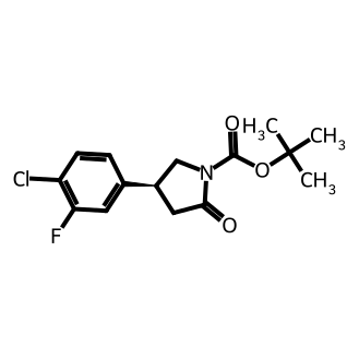 CC(C)(C)OC(=O)N1C[C@H](c2ccc(Cl)c(F)c2)CC1=O